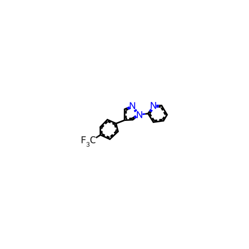 FC(F)(F)c1ccc(-c2cnn(-c3ccccn3)c2)cc1